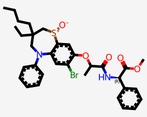 CCCCC1(CC)CN(c2ccccc2)c2cc(Br)c(OC(C)C(=O)N[C@@H](C(=O)OC)c3ccccc3)cc2[S+]([O-])C1